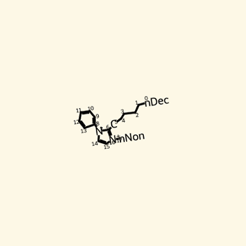 CCCCCCCCCCCCCCCc1n(-c2ccccc2)cc[n+]1CCCCCCCCC